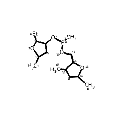 CCC1OC(C)CC1OP(C)OCC1OC(C)CC1C